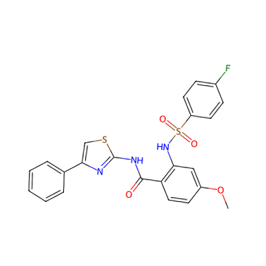 COc1ccc(C(=O)Nc2nc(-c3ccccc3)cs2)c(NS(=O)(=O)c2ccc(F)cc2)c1